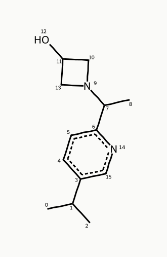 CC(C)c1ccc(C(C)N2CC(O)C2)nc1